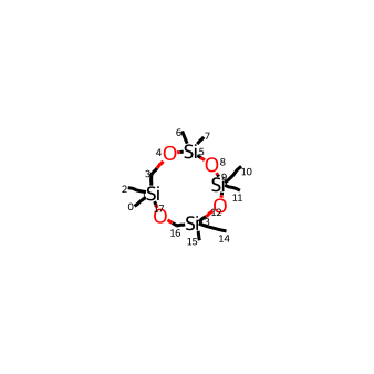 C[Si]1(C)CO[Si](C)(C)O[Si](C)(C)O[Si](C)(C)CO1